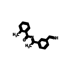 C/C(=N\C(=O)c1ccccc1C)c1cccc(C=N)c1